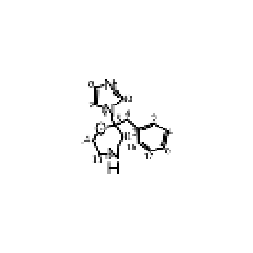 c1ccc(CC2(n3ccnc3)CNCCO2)cc1